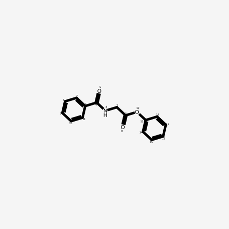 O=C(CNC(=O)c1ccccc1)Oc1ccccc1